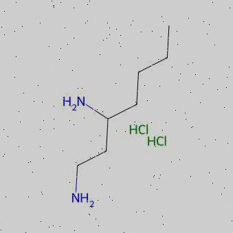 CCCCC(N)CCN.Cl.Cl